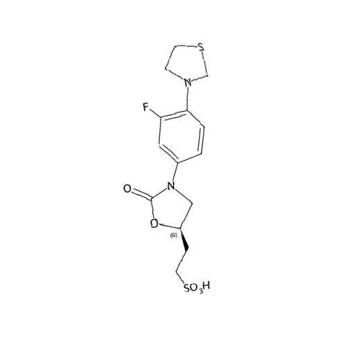 O=C1O[C@H](CCS(=O)(=O)O)CN1c1ccc(N2CCSC2)c(F)c1